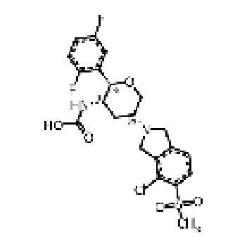 CS(=O)(=O)c1ccc2c(c1Cl)CN([C@H]1CO[C@H](c3cc(F)ccc3F)[C@@H](NC(=O)O)C1)C2